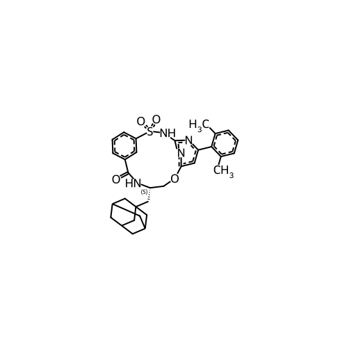 Cc1cccc(C)c1-c1cc2nc(n1)NS(=O)(=O)c1cccc(c1)C(=O)N[C@@H](CC13CC4CC(CC(C4)C1)C3)CO2